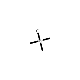 [CH3][In-]([CH3])([CH3])[Cl]